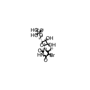 O=c1[nH]c(=O)n([C@@H]2O[C@H](COP(=O)(O)O)C(O)C2O)c(I)c1Br